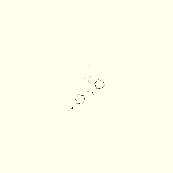 COCCS(=O)(=O)Nc1ccccc1C(=O)Cc1ccc(C#N)cc1